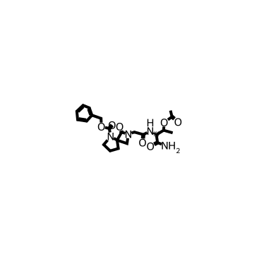 CC(=O)OC(C)[C@H](NC(=O)CN1CC2(CCCN2C(=O)OCc2ccccc2)C1=O)C(N)=O